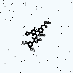 COC(=O)Cc1ccc(OC)c(-c2c(C)cc(N3CCC3)nc2CN2C(=O)OC(c3cc(C(F)(F)F)cc(C(F)(F)F)c3)C2C)c1